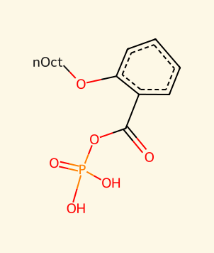 CCCCCCCCOc1ccccc1C(=O)OP(=O)(O)O